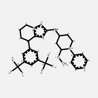 COC1CC(Nc2nc3n(n2)CCCC3c2cc(C(F)(F)F)cc(C(F)(F)F)c2)CCN1c1ccncc1